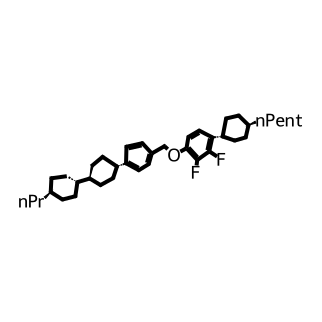 CCCCC[C@H]1CC[C@H](c2ccc(OCc3ccc([C@H]4CC[C@H]([C@H]5CC[C@H](CCC)CC5)CC4)cc3)c(F)c2F)CC1